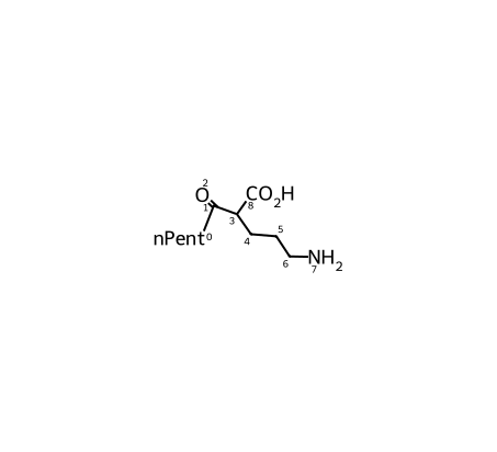 CCCCCC(=O)C(CCCN)C(=O)O